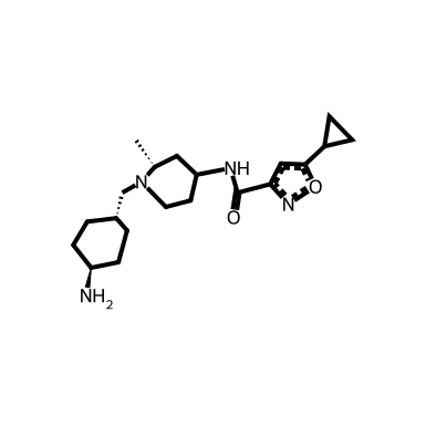 C[C@@H]1CC(NC(=O)c2cc(C3CC3)on2)CCN1C[C@H]1CC[C@H](N)CC1